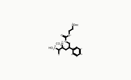 CCCCCCCCCCCCSC(=S)SCC(CC(C(=O)O)C(C)C(=O)O)c1ccccc1